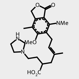 CNc1c(C/C=C(\C)CC(CCN2CCNC2)C(=O)O)c(OC)c(C)c2c1C(=O)OC2